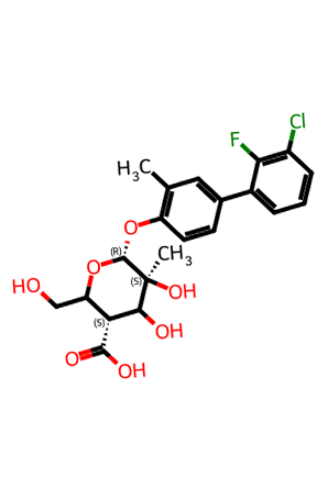 Cc1cc(-c2cccc(Cl)c2F)ccc1O[C@H]1OC(CO)[C@@H](C(=O)O)C(O)[C@]1(C)O